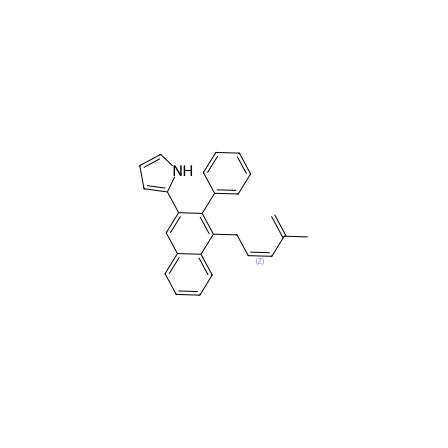 C=C(C)/C=C\Cc1c(-c2ccccc2)c(-c2ccc[nH]2)cc2ccccc12